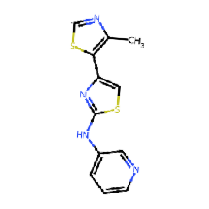 Cc1n[c]sc1-c1csc(Nc2cccnc2)n1